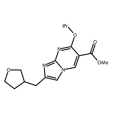 COC(=O)c1cn2cc(CC3CCOC3)nc2nc1OC(C)C